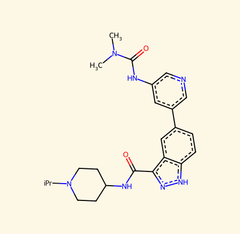 CC(C)N1CCC(NC(=O)c2n[nH]c3ccc(-c4cncc(NC(=O)N(C)C)c4)cc23)CC1